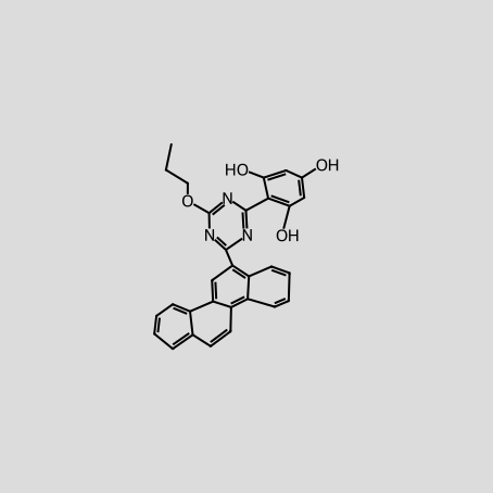 CCCOc1nc(-c2c(O)cc(O)cc2O)nc(-c2cc3c4ccccc4ccc3c3ccccc23)n1